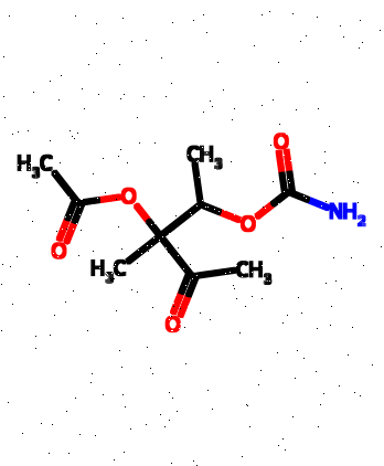 CC(=O)OC(C)(C(C)=O)C(C)OC(N)=O